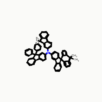 CC1(C)c2ccccc2-c2ccc(N(c3ccc4c(c3)-c3ccccc3C43c4ccccc4C(C)(C)c4ccccc43)c3ccc4c(c3)C(c3ccccc3)(c3ccccc3)c3ccccc3-4)cc21